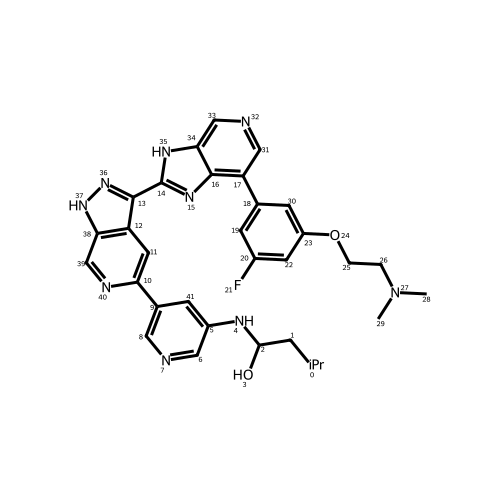 CC(C)CC(O)Nc1cncc(-c2cc3c(-c4nc5c(-c6cc(F)cc(OCCN(C)C)c6)cncc5[nH]4)n[nH]c3cn2)c1